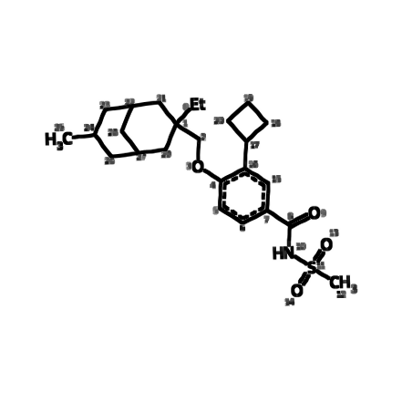 CCC1(COc2ccc(C(=O)NS(C)(=O)=O)cc2C2CCC2)CC2CC(C)CC(C2)C1